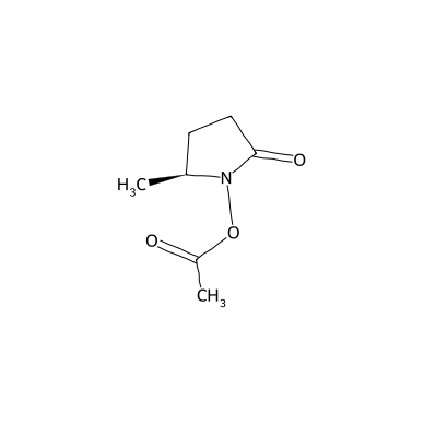 CC(=O)ON1C(=O)CC[C@@H]1C